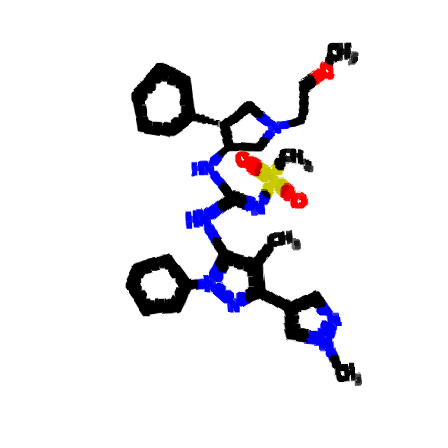 COCCN1C[C@@H](NC(=NS(C)(=O)=O)Nc2c(C)c(-c3cnn(C)c3)nn2-c2ccccc2)[C@H](c2ccccc2)C1